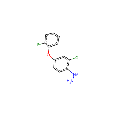 NNc1ccc(Oc2ccccc2F)cc1Cl